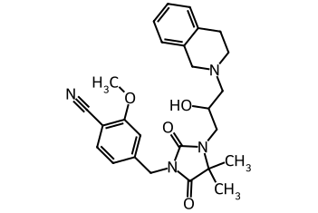 COc1cc(CN2C(=O)N(CC(O)CN3CCc4ccccc4C3)C(C)(C)C2=O)ccc1C#N